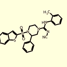 Cc1ccccc1N/C(=N/C#N)N1CCN(S(=O)(=O)c2cc3ccccc3s2)C(c2ccccc2)C1